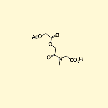 CC(=O)OCC(=O)OCC(=O)N(C)CC(=O)O